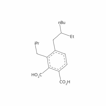 CCCCC(CC)Cc1ccc(C(=O)O)c(C(=O)O)c1CC(C)C